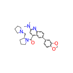 CN(C)c1cc(C(=O)N2CCC[C@H]2CN2CCCC2)c2cc(-c3ccc4c(c3)OCO4)ccc2n1